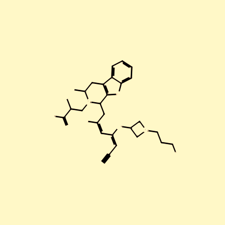 C#C/C=C(\C=C(\F)CC1c2[nH]c3ccccc3c2CC(C)N1CC(C)C(=O)O)OC1CN(CCCF)C1